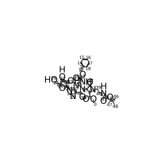 COC(=O)C1C(n2c(NC(=O)OCc3ccccc3)nc3c(ncn3[C@@H]3O[C@H](CO)[C@@H](O)[C@H]3O)c2=O)C(=O)N1CCNC(=O)OC(C)(C)C